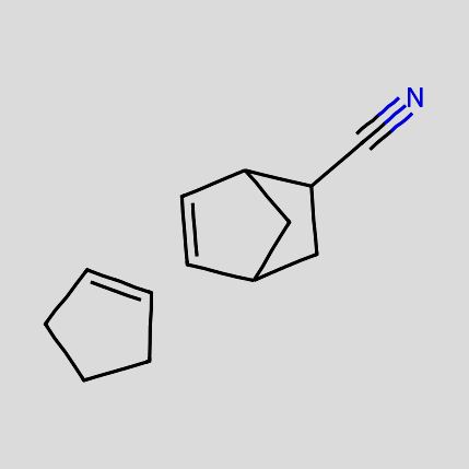 C1=CCCC1.N#CC1CC2C=CC1C2